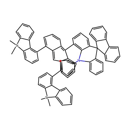 C[Si]1(C)c2ccccc2-c2c(-c3cccc4c(-c5cccc6c5N(c5ccccc5)c5ccccc5C65c6ccccc6-c6ccccc65)c5cccc(-c6cccc7c6-c6ccccc6[Si]7(C)C)c5cc34)cccc21